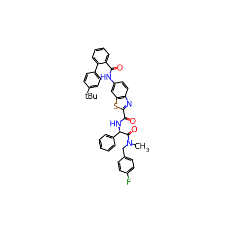 CN(Cc1ccc(F)cc1)C(=O)[C@H](NC(=O)c1nc2ccc(NC(=O)c3ccccc3-c3ccc(C(C)(C)C)cc3)cc2s1)c1ccccc1